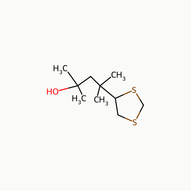 CC(C)(O)CC(C)(C)C1CSCS1